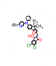 CC(C)(C)c1ccc(N(C2=CC=CCC2)c2ccc3c(c2)C(C)(C)c2cc(/C=C4/C(=O)c5cc(Cl)c(Cl)cc5C4O)oc2-3)cn1